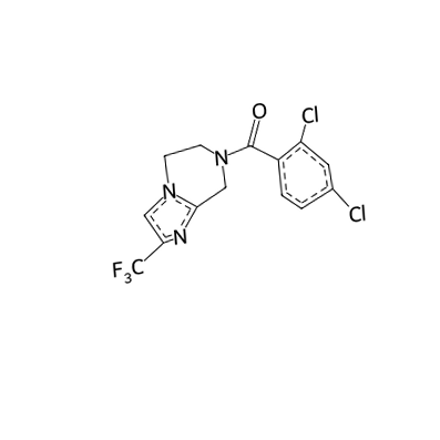 O=C(c1ccc(Cl)cc1Cl)N1CCn2cc(C(F)(F)F)nc2C1